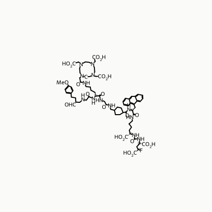 COc1ccc(CCC(C=O)CNCC(=O)N[C@@H](CCCCNC(=O)CN2CCN(CC(=O)O)CCN(CC(=O)O)CCN(CC(=O)O)CC2)C(=O)NCC(=O)NCC2CCC(C(=O)N[C@@H](Cc3c4ccccc4cc4ccccc34)C(=O)NCCCC[C@H](NC(=O)N[C@@H](C[C@@H](F)C(=O)O)C(=O)O)C(=O)O)CC2)cc1